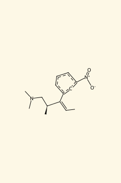 C/C=C(\c1cccc([N+](=O)[O-])c1)[C@@H](C)CN(C)C